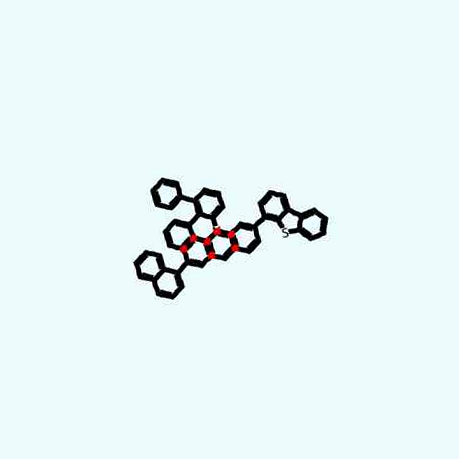 c1ccc(-c2ccccc2-c2c(-c3ccccc3)cccc2N(c2ccc(-c3cccc4ccccc34)cc2)c2cccc(-c3cccc4c3sc3ccccc34)c2)cc1